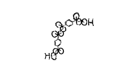 O=C(OCO)c1ccc(C(=O)OCOC(=O)c2ccc(C(=O)OCO)cc2)cc1